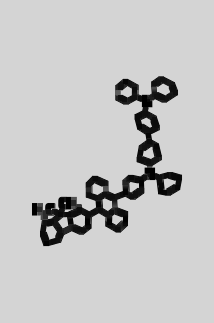 CC1(C)c2ccccc2-c2ccc(-c3c4ccccc4c(-c4ccc(N(c5ccccc5)c5ccc(-c6ccc(N(c7ccccc7)c7ccccc7)cc6)cc5)cc4)c4ccccc34)cc21